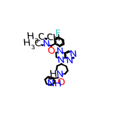 CCN(C(=O)c1cc(F)ccc1N1CCN(C2CCCN(C(=O)[C@H]3NC4CCC3CC4)CC2)c2ncncc21)C(C)C